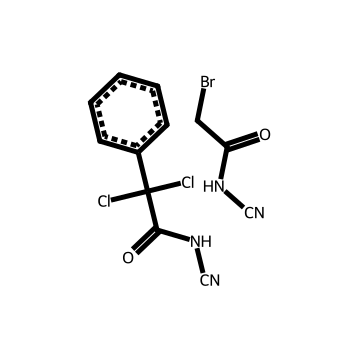 N#CNC(=O)C(Cl)(Cl)c1ccccc1.N#CNC(=O)CBr